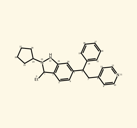 CCC1c2ccc(C(Cc3ccncc3)c3ccccc3)cc2NN1C1CCCC1